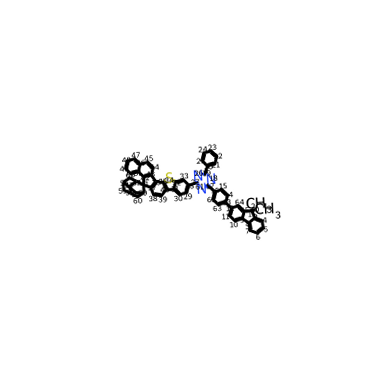 CC1(C)c2ccccc2-c2ccc(-c3ccc(-c4nc(-c5ccccc5)nc(-c5ccc6c(c5)sc5c7c(ccc56)C5(c6c-7ccc7ccccc67)C6CC7CC(C6)CC5C7)n4)cc3)cc21